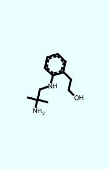 CC(C)(N)CNc1ccccc1CCO